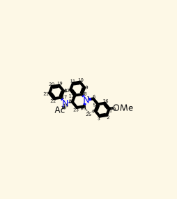 COc1cccc(CN2c3ccccc3[C@@H](N(C(C)=O)c3ccccc3)C[C@H]2C)c1